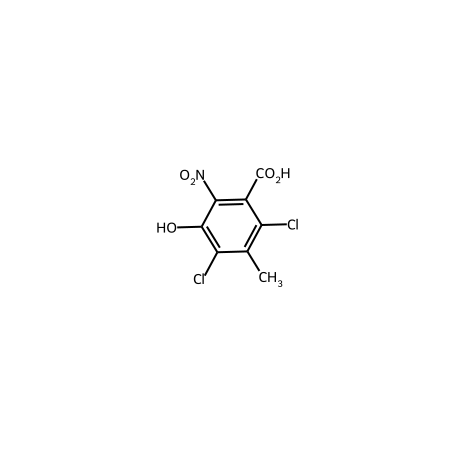 Cc1c(Cl)c(O)c([N+](=O)[O-])c(C(=O)O)c1Cl